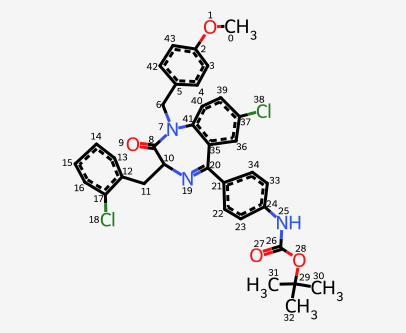 COc1ccc(CN2C(=O)C(Cc3ccccc3Cl)N=C(c3ccc(NC(=O)OC(C)(C)C)cc3)c3cc(Cl)ccc32)cc1